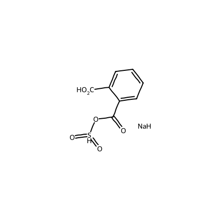 O=C(O)c1ccccc1C(=O)O[SH](=O)=O.[NaH]